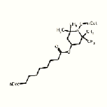 CCCCCCCCCCCCCCCCCC(=O)OC1CC(C)(C)N(OCCCCCCCC)C(C)(C)C1